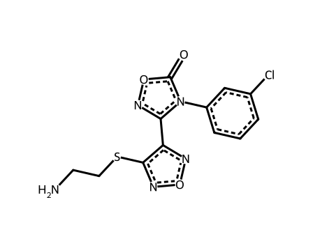 NCCSc1nonc1-c1noc(=O)n1-c1cccc(Cl)c1